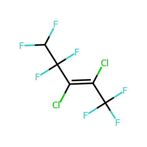 FC(F)C(F)(F)C(Cl)=C(Cl)C(F)(F)F